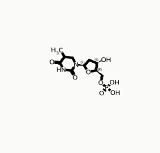 CC1CN([C@H]2C[C@H](O)[C@@H](COP(=O)(O)O)O2)C(=O)NC1=O